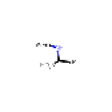 CCCCCNC(CCC)S(=O)(=O)O